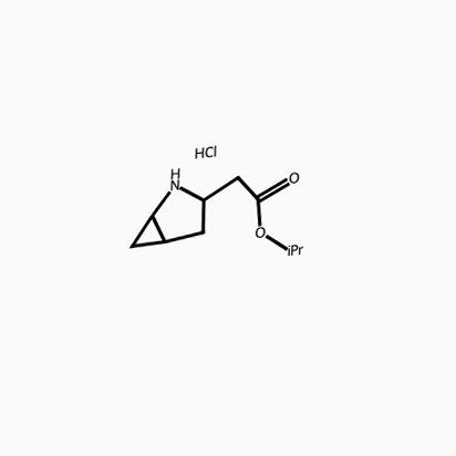 CC(C)OC(=O)CC1CC2CC2N1.Cl